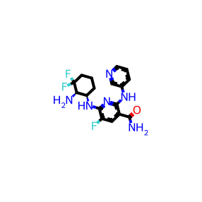 NC(=O)c1cc(F)c(N[C@@H]2CCCC(F)(F)[C@@H]2N)nc1Nc1cccnc1